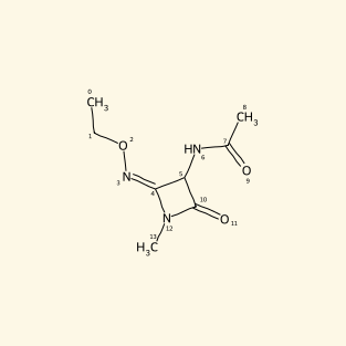 CCON=C1C(NC(C)=O)C(=O)N1C